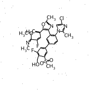 C=C(/C=C(F)\C(=N/C)OC)c1oc(C)nc1-c1cc(-c2cc(F)c(CO)c(S(C)(=O)=O)c2)ccc1-n1cc(Cl)nc1C